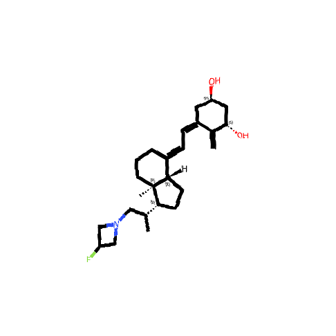 C=C1C(=CC=C2CCC[C@]3(C)[C@@H](C(C)CN4CC(F)C4)CC[C@@H]23)C[C@@H](O)C[C@@H]1O